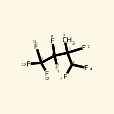 CC(F)(C(F)F)C(F)(F)C(F)(F)F